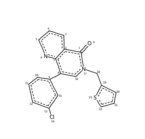 O=c1c2cccnc2c(-c2cccc(Cl)c2)cn1Cc1cccs1